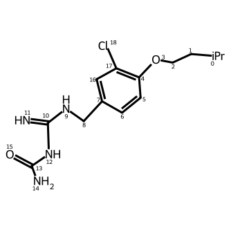 CC(C)CCOc1ccc(CNC(=N)NC(N)=O)cc1Cl